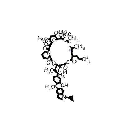 C=CCC1/C=C(\C)CC(C)CC(OC)C2OC(O)(C(=O)C(=O)N3CCCCC3C(=O)OC(C(C)=CC3CCC(N(C)c4ccc5c(ccn5C5CC5)c4)C(O)C3)C(C)C(O)CC1=O)C(C)CC2OC